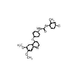 COc1cc2nccc(Oc3ccc(NC(=O)[N]c4ccc(Cl)cc4C)cc3)c2cc1OC